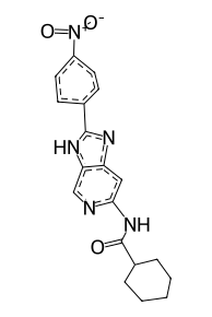 O=C(Nc1cc2nc(-c3ccc([N+](=O)[O-])cc3)[nH]c2cn1)C1CCCCC1